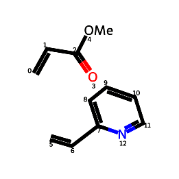 C=CC(=O)OC.C=Cc1ccccn1